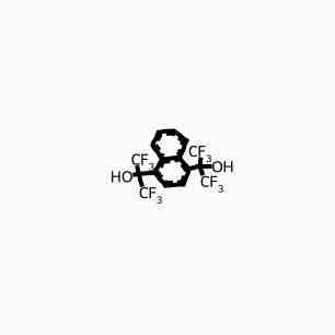 OC(c1ccc(C(O)(C(F)(F)F)C(F)(F)F)c2ccccc12)(C(F)(F)F)C(F)(F)F